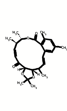 Cc1cc(C)c2c(c1)/C=C/C(C)[C@@H]1OC(C)(C)O[C@@H]1C(=O)/C=C\[C@@H](C)[C@H](C)OC2=O